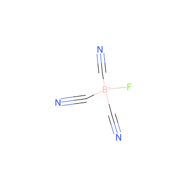 N#C[B-](F)(C#N)C#N